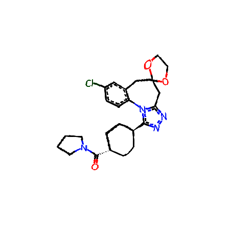 O=C([C@H]1CC[C@H](c2nnc3n2-c2ccc(Cl)cc2CC2(C3)OCCO2)CC1)N1CCCC1